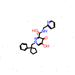 O=c1c(O)cn(CC2(c3ccccc3)CCCC2)nc1[C@@H](O)NCc1ccccn1